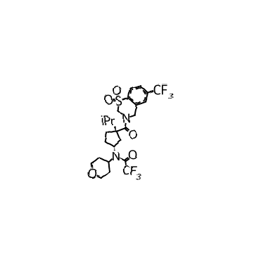 CC(C)[C@]1(C(=O)N2Cc3cc(C(F)(F)F)ccc3S(=O)(=O)C2)CC[C@@H](N(C(=O)C(F)(F)F)C2CCOCC2)C1